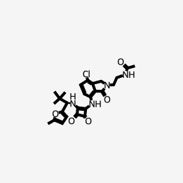 CC(=O)NCCN1Cc2c(Cl)ccc(Nc3c(N[C@@H](c4ccc(C)o4)C(C)(C)C)c(=O)c3=O)c2C1=O